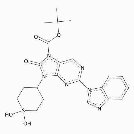 CC(C)(C)OC(=O)n1c(=O)n(C2CCS(O)(O)CC2)c2nc(-n3cnc4ccccc43)ncc21